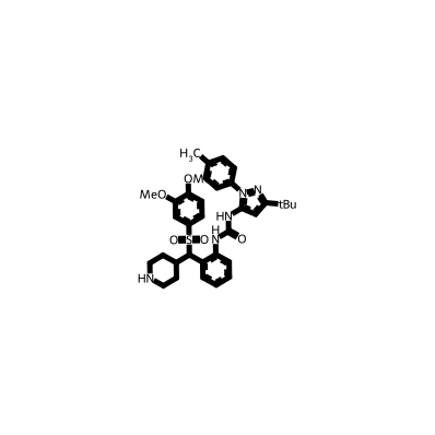 COc1ccc(S(=O)(=O)C(c2ccccc2NC(=O)Nc2cc(C(C)(C)C)nn2-c2ccc(C)cc2)C2CCNCC2)cc1OC